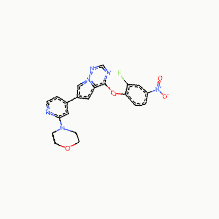 O=[N+]([O-])c1ccc(Oc2ncnn3cc(-c4ccnc(N5CCOCC5)c4)cc23)c(F)c1